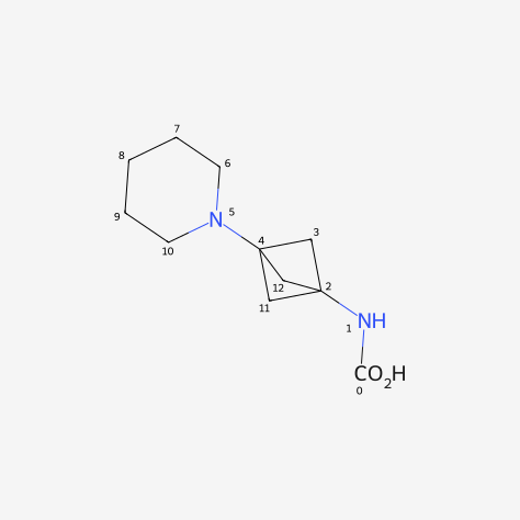 O=C(O)NC12CC(N3CCCCC3)(C1)C2